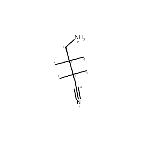 CC(C)(C#N)C(C)(C)CN